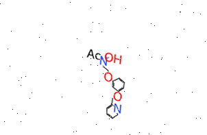 CC(=O)N(O)CCOc1cccc(OCc2ccccn2)c1